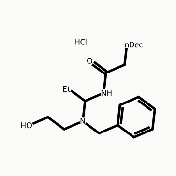 CCCCCCCCCCCC(=O)NC(CC)N(CCO)Cc1ccccc1.Cl